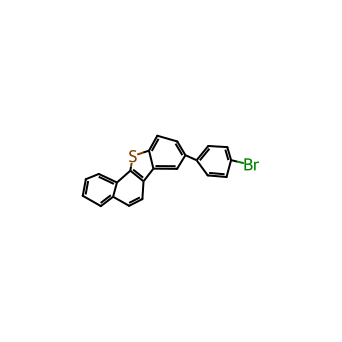 Brc1ccc(-c2ccc3sc4c5ccccc5ccc4c3c2)cc1